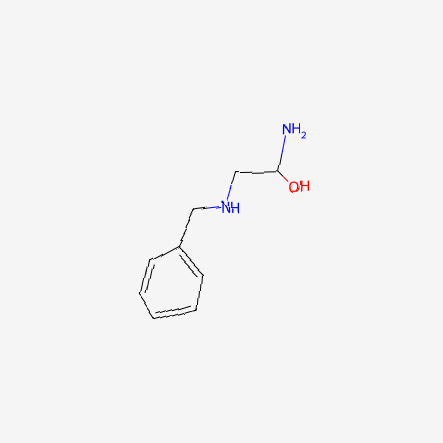 NC(O)CNCc1ccccc1